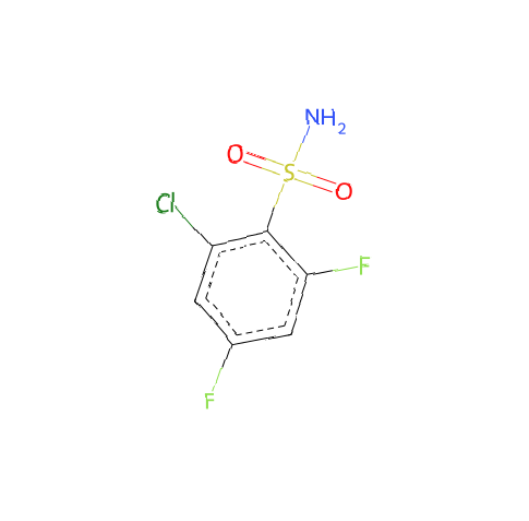 NS(=O)(=O)c1c(F)cc(F)cc1Cl